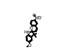 COc1ccc2c(c1)C(C)(C)C1(C=Cc3cc([N+](=O)[O-])ccc3O1)N2